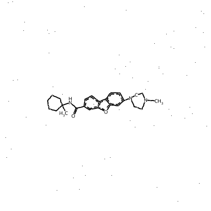 CN1CCN(c2ccc3c(c2)oc2cc(C(=O)NC4(C)CCCCC4)ccc23)CC1